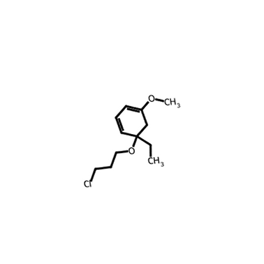 CCC1(OCCCCl)C=CC=C(OC)C1